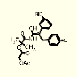 CC(=O)OCC(=O)OC(C)(C)C(=O)NC(C)C(Cc1ccc(Cl)cc1)c1cccc(C#N)c1